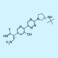 CC(C)(C)N[C@H]1CCN(c2ncc(-c3ncc(/C(=C/N)C(=N)F)cc3O)nn2)C1